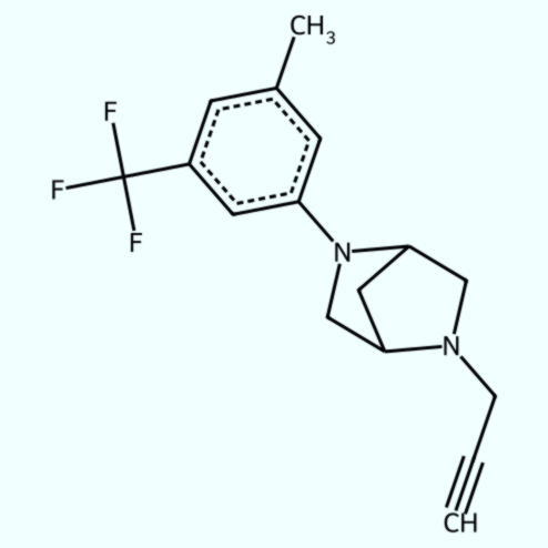 C#CCN1CC2CC1CN2c1cc(C)cc(C(F)(F)F)c1